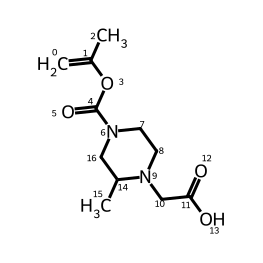 C=C(C)OC(=O)N1CCN(CC(=O)O)C(C)C1